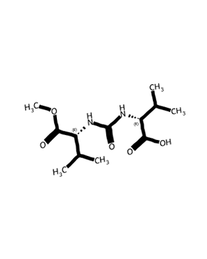 COC(=O)[C@H](NC(=O)N[C@@H](C(=O)O)C(C)C)C(C)C